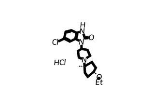 CCO[C@H]1CC[C@](C)(N2CCC(n3c(=O)[nH]c4ccc(Cl)cc43)CC2)CC1.Cl